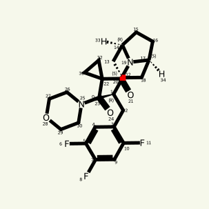 C[C@H](Cc1cc(F)c(F)cc1F)[C@@H]1C[C@H]2CC[C@@H](C1)N2C(=O)C1(C(=O)N2CCOCC2)CC1